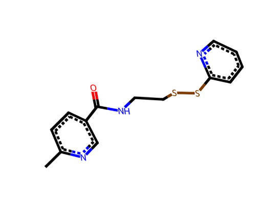 Cc1ccc(C(=O)NCCSSc2ccccn2)cn1